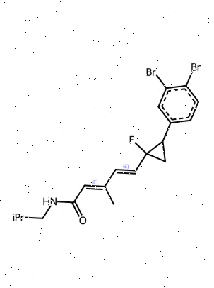 CC(/C=C/C1(F)CC1c1ccc(Br)c(Br)c1)=C\C(=O)NCC(C)C